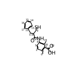 Cc1ccc(NC(=O)C(CS)Cc2ccccc2)c(C)c1C(=O)O